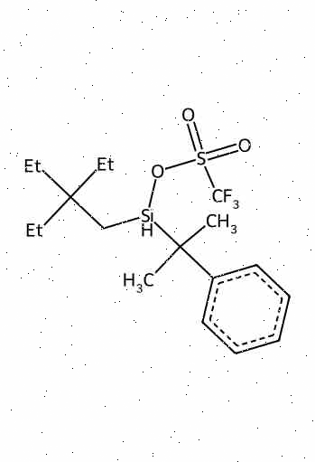 CCC(CC)(CC)C[SiH](OS(=O)(=O)C(F)(F)F)C(C)(C)c1ccccc1